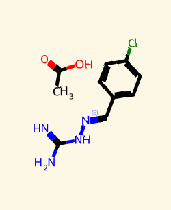 CC(=O)O.N=C(N)N/N=C/c1ccc(Cl)cc1